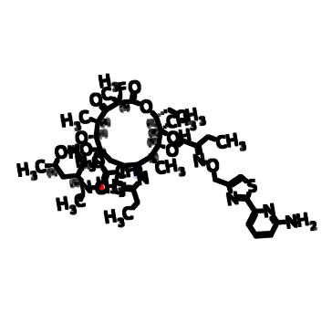 CCC(=O)/N=C1\[C@H](C)C[C@@](C)(O)[C@H](O[C@@H]2O[C@H](C)C[C@H](N(C)C)[C@H]2OC(C)=O)[C@@H](C)C(=O)[C@](C)(F)C(=O)O[C@H](CC)[C@@](C)(O)[C@H](OCC(CC)=NOCc2csc(-c3cccc(N)n3)n2)[C@H]1C